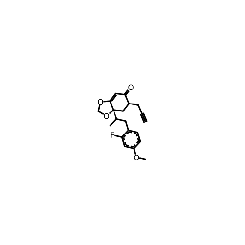 C#CC[C@H]1C[C@]2(C(C)Cc3ccc(OC)cc3F)OCOC2=CC1=O